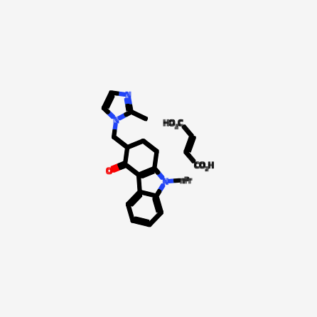 CCCn1c2c(c3ccccc31)C(=O)C(Cn1ccnc1C)CC2.O=C(O)C=CC(=O)O